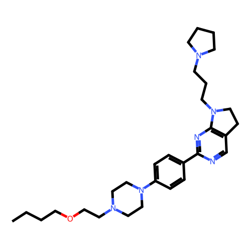 CCCCOCCN1CCN(c2ccc(-c3ncc4c(n3)N(CCCN3CCCC3)CC4)cc2)CC1